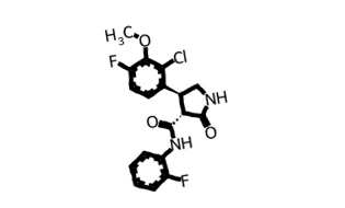 COc1c(F)ccc([C@H]2CNC(=O)[C@@H]2C(=O)Nc2ccccc2F)c1Cl